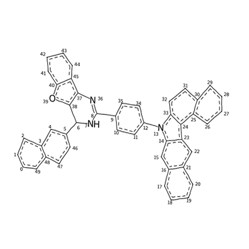 c1ccc2cc(C3NC(c4ccc(-n5c6cc7ccccc7cc6c6c7ccccc7ccc65)cc4)=Nc4c3oc3ccccc43)ccc2c1